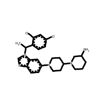 CC(c1ccc(Cl)cc1Cl)n1cnc2ccc(N3CCC(N4CCCC(N)C4)CC3)cc21